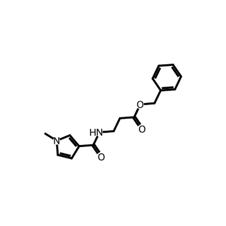 Cn1ccc(C(=O)NCCC(=O)OCc2ccccc2)c1